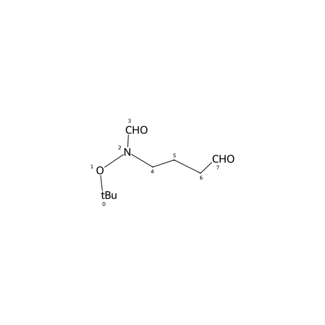 CC(C)(C)ON(C=O)CCCC=O